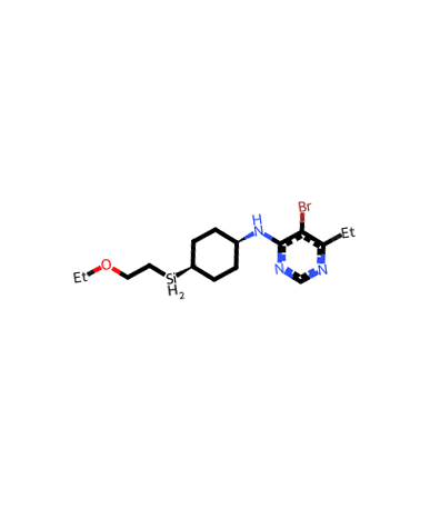 CCOCC[SiH2][C@H]1CC[C@@H](Nc2ncnc(CC)c2Br)CC1